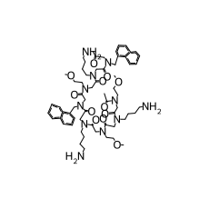 COCCN(CC(=O)N(CCCCN)CC(=O)N(CCOC)CC(=O)N(CCCCN)CC(=O)N(CC(=O)N(CCOC)CC(=O)N(CCCCN)CC(=O)N(CC(C)=O)Cc1cccc2ccccc12)Cc1cccc2ccccc12)C(C)=O